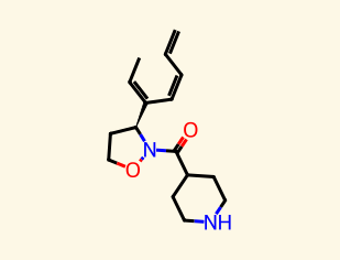 C=C/C=C\C(=C/C)[C@@H]1CCON1C(=O)C1CCNCC1